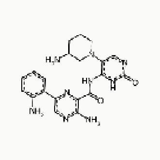 Nc1ccccc1-c1cnc(N)c(C(=O)Nc2[nH]c(=O)ncc2N2CCCC(N)C2)n1